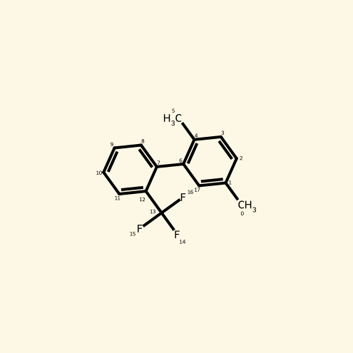 Cc1ccc(C)c(-c2ccccc2C(F)(F)F)c1